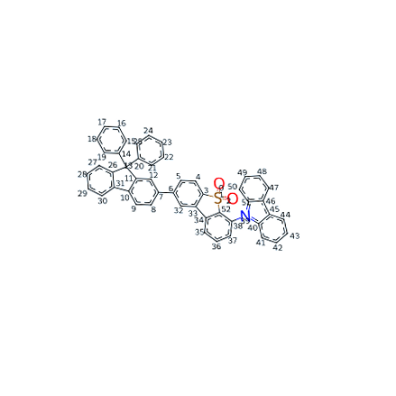 O=S1(=O)c2ccc(-c3ccc4c(c3)C(c3ccccc3)(c3ccccc3)c3ccccc3-4)cc2-c2cccc(-n3c4ccccc4c4ccccc43)c21